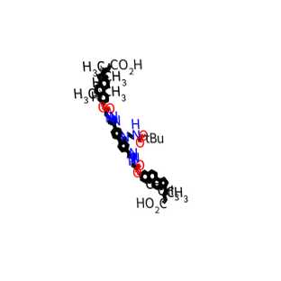 C[C@H](CCC(=O)O)C1CCC2C3CCC4CC(OC(=O)Cn5cc(-c6ccc7c8ccc(-c9cn(CC(=O)OC%10CCC%11(C)C%12CCC%13(C)C(CC%13[C@H](C)CCC(=O)O)[C@@H]%12C[C@H](C)[C@@H]%11C%10)nn9)cc8n(CCNC(=O)OC(C)(C)C)c7c6)nn5)CCC4(C)C3CCC21C